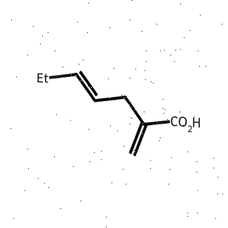 C=C(CC=CCC)C(=O)O